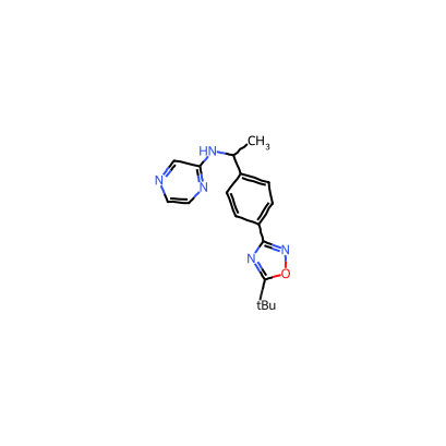 CC(Nc1cnccn1)c1ccc(-c2noc(C(C)(C)C)n2)cc1